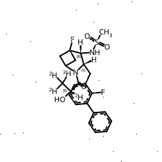 [2H]C([2H])([2H])[C@@]([2H])(O)C(=O)N1C2CC(F)(C2)[C@H](NS(C)(=O)=O)[C@@H]1Cc1cccc(-c2ccccc2)c1F